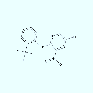 CC(C)(C)c1ccccc1Oc1ncc(Cl)cc1[N+](=O)[O-]